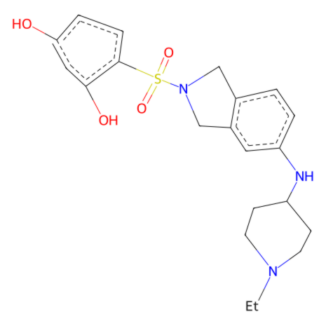 CCN1CCC(Nc2ccc3c(c2)CN(S(=O)(=O)c2ccc(O)cc2O)C3)CC1